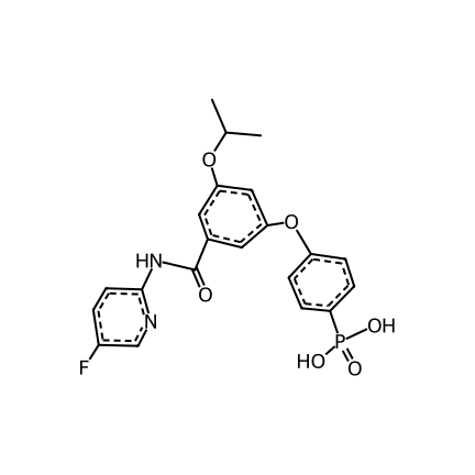 CC(C)Oc1cc(Oc2ccc(P(=O)(O)O)cc2)cc(C(=O)Nc2ccc(F)cn2)c1